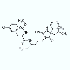 CC[C@@H](CCCN1C(=N)N[C@](CC(C)C)(c2ccccc2)C1=O)NC(=O)[C@H](Cc1cccc(Cl)c1)NC(=O)OC